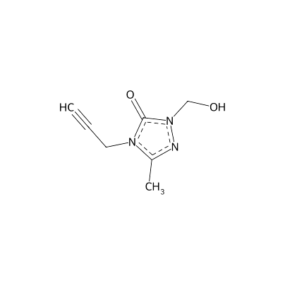 C#CCn1c(C)nn(CO)c1=O